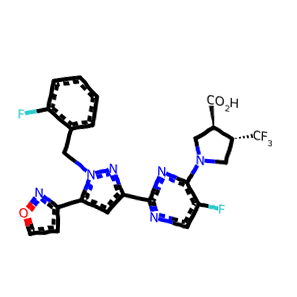 O=C(O)[C@@H]1CN(c2nc(-c3cc(-c4ccon4)n(Cc4ccccc4F)n3)ncc2F)C[C@H]1C(F)(F)F